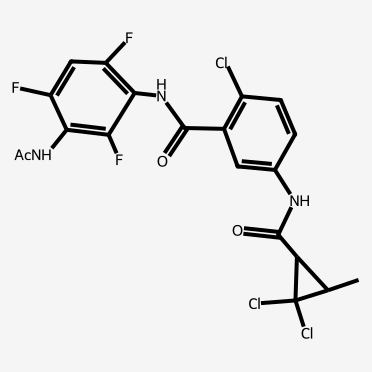 CC(=O)Nc1c(F)cc(F)c(NC(=O)c2cc(NC(=O)C3C(C)C3(Cl)Cl)ccc2Cl)c1F